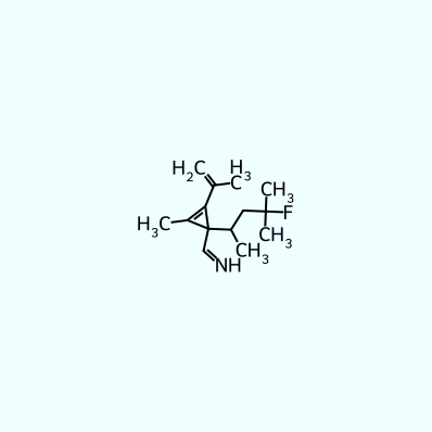 C=C(C)C1=C(C)C1(C=N)C(C)CC(C)(C)F